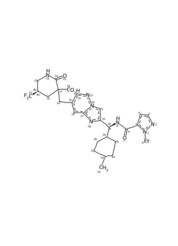 CCn1nccc1C(=O)N[C@H](c1cn2ncc(CC3(C(=O)O)C[C@@H](C(F)(F)F)CNC3=O)cc2n1)C1CCC(C)CC1